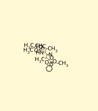 CCOC(=O)C1(Oc2ccccc2)ON=C([C@@H](NC(=O)OC(C)(C)C)C(C)C)C1C